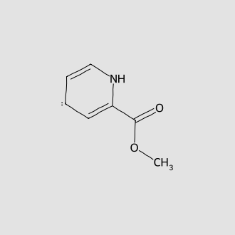 COC(=O)C1=C[C]C=CN1